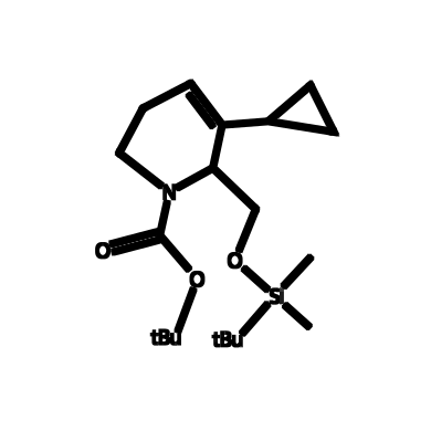 CC(C)(C)OC(=O)N1CCC=C(C2CC2)C1CO[Si](C)(C)C(C)(C)C